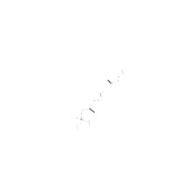 CCC(=O)OCCOC(=O)CC(F)(F)F